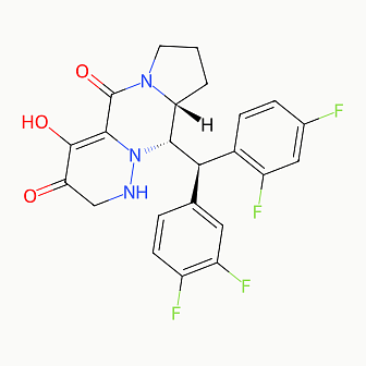 O=C1CNN2C(=C1O)C(=O)N1CCC[C@@H]1[C@@H]2[C@H](c1ccc(F)c(F)c1)c1ccc(F)cc1F